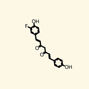 O=C(C=Cc1ccc(O)cc1)CC(=O)C=Cc1ccc(O)c(F)c1